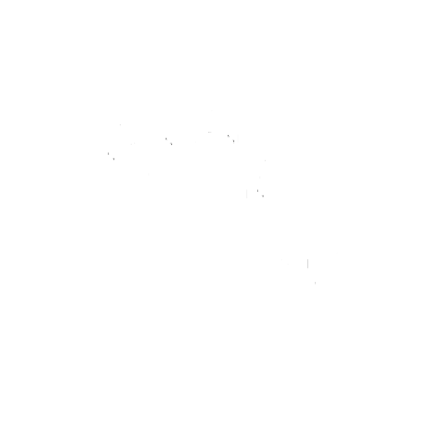 CCOP(=S)(CCCN[S+]([O-])CNC(=O)ON=C(SC)C(=O)N(C)C)OCC